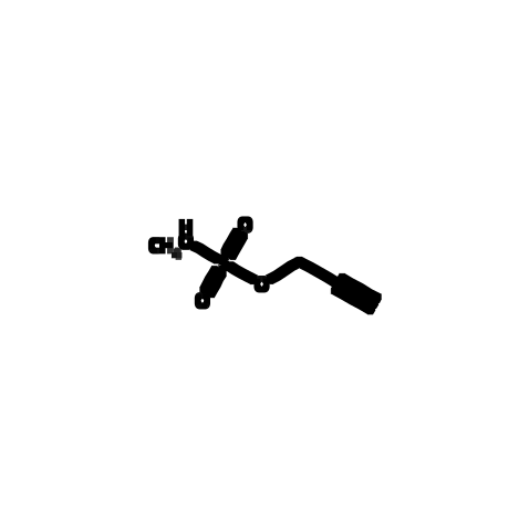 C.C#CCOS(=O)(=O)O